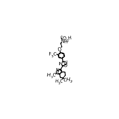 Cn1nc(-c2nc(-c3ccc(OCCNC(=O)O)c(C(F)(F)F)c3)no2)c2c1CC(C)(C)CC2